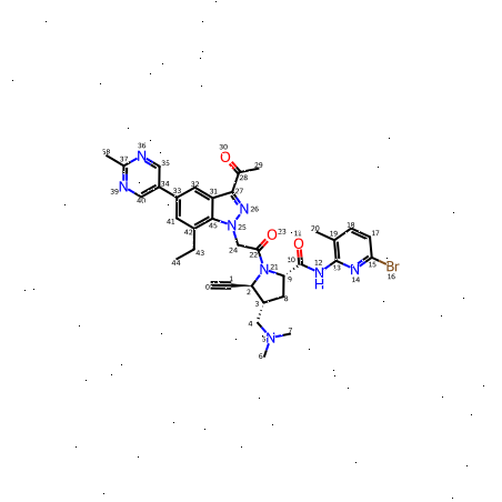 C#C[C@@H]1[C@@H](CN(C)C)C[C@@H](C(=O)Nc2nc(Br)ccc2C)N1C(=O)Cn1nc(C(C)=O)c2cc(-c3cnc(C)nc3)cc(CC)c21